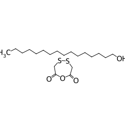 CCCCCCCCCCCCCCCCO.O=C1CSSCC(=O)O1